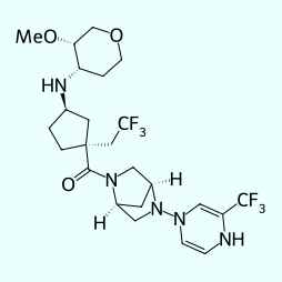 CO[C@@H]1COCC[C@@H]1N[C@@H]1CC[C@](CC(F)(F)F)(C(=O)N2C[C@@H]3C[C@H]2CN3N2C=CNC(C(F)(F)F)=C2)C1